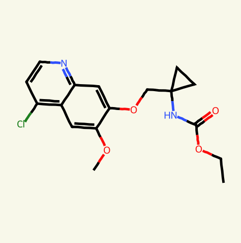 CCOC(=O)NC1(COc2cc3nccc(Cl)c3cc2OC)CC1